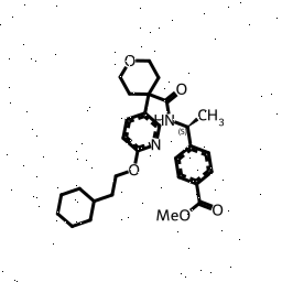 COC(=O)c1ccc([C@H](C)NC(=O)C2(c3ccc(OCCC4CCCCC4)nc3)CCOCC2)cc1